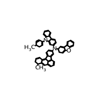 CC1C#CC(n2c3ccccc3c3ccc(N(c4ccc5c(c4)-c4cccc6cc7c(c-5c46)C=CCC7C)C4C=c5c(oc6ccccc56)=CC4)cc32)=CC1